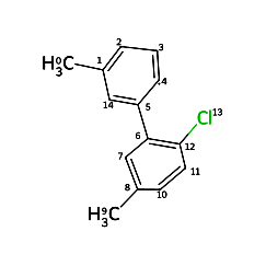 Cc1cc[c]c(-c2cc(C)ccc2Cl)c1